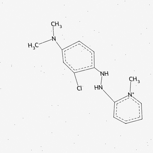 CN(C)c1ccc(NNc2cccc[n+]2C)c(Cl)c1